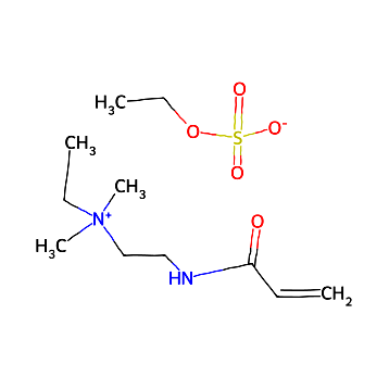 C=CC(=O)NCC[N+](C)(C)CC.CCOS(=O)(=O)[O-]